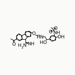 CC(=O)c1ccc2c(c1)C(C(=N)N)c1cc(OCCNCC(O)c3ccc(O)c(NS(C)(=O)=O)c3)ccc1-2